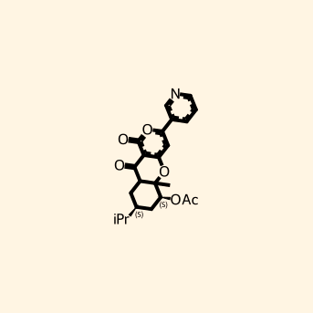 CC(=O)O[C@H]1C[C@@H](C(C)C)CC2C(=O)c3c(cc(-c4cccnc4)oc3=O)OC21C